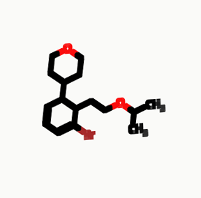 CC(C)OCCC1C(Br)=CC=CC1C1CCOCC1